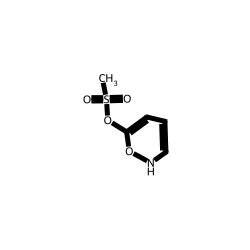 CS(=O)(=O)OC1=CC=CNO1